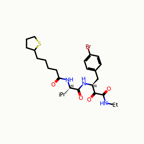 CCNC(=O)C(=O)[C@H](Cc1ccc(Br)cc1)NC(=O)[C@@H](NC(=O)CCCCC1CCCS1)C(C)C